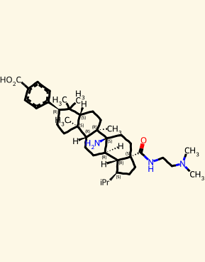 CC(C)[C@@H]1CC[C@]2(C(=O)NCCN(C)C)CC[C@]3(N)[C@H](CC[C@@H]4[C@@]5(C)CC[C@@H](c6ccc(C(=O)O)cc6)C(C)(C)[C@@H]5CC[C@]43C)[C@@H]12